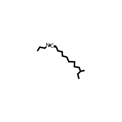 CCCN=C=CCCCCCCCCC(C)CC